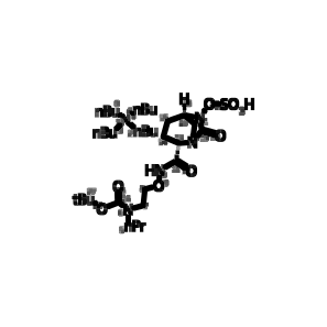 CCCC[N+](CCCC)(CCCC)CCCC.CCCN(CCONC(=O)[C@@H]1CC[C@@H]2CN1C(=O)N2OS(=O)(=O)O)C(=O)OC(C)(C)C